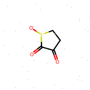 O=C1CC[S+]([O-])C1=O